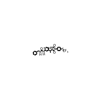 CC(c1ccnc(NC(=O)NCc2ccccc2)c1)C1NC(=O)N(c2ccc(SC(F)(F)F)cc2)C1=O